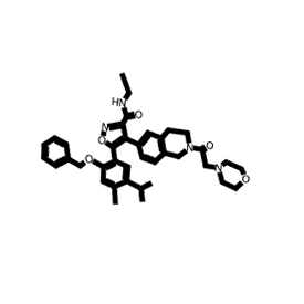 CCNC(=O)c1noc(-c2cc(C(C)C)c(C)cc2OCc2ccccc2)c1-c1ccc2c(c1)CCN(C(=O)CN1CCOCC1)C2